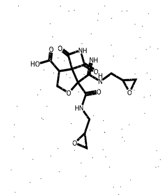 N=C(NCC1CO1)C1(C(=O)NCC2CO2)OCC(C(=O)O)C12C(=O)NC2=O